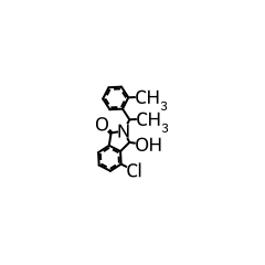 Cc1ccccc1C(C)N1C(=O)c2cccc(Cl)c2C1O